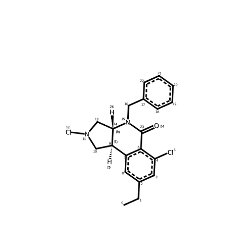 CCc1cc(Cl)c2c(c1)[C@H]1CN(Cl)C[C@@H]1N(Cc1ccccc1)C2=O